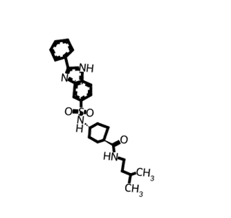 CC(C)CCNC(=O)[C@H]1CC[C@H](NS(=O)(=O)c2ccc3[nH]c(-c4ccccc4)nc3c2)CC1